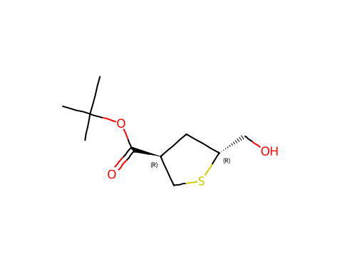 CC(C)(C)OC(=O)[C@@H]1CS[C@@H](CO)C1